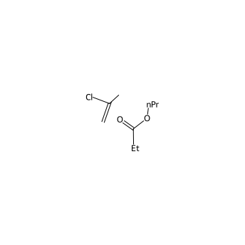 C=C(C)Cl.CCCOC(=O)CC